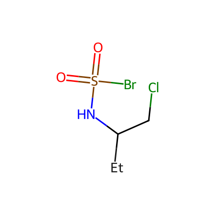 CCC(CCl)NS(=O)(=O)Br